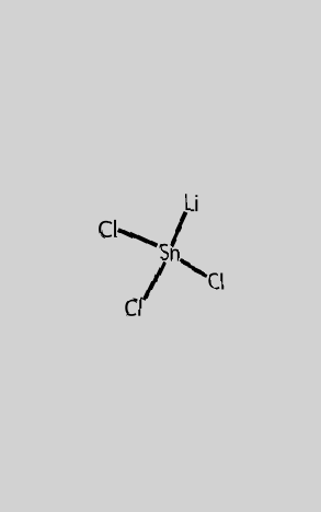 [Li][Sn]([Cl])([Cl])[Cl]